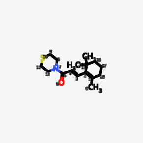 CC1=C(C=CC(=O)N2CCSCC2)C(C)(C)CCC1